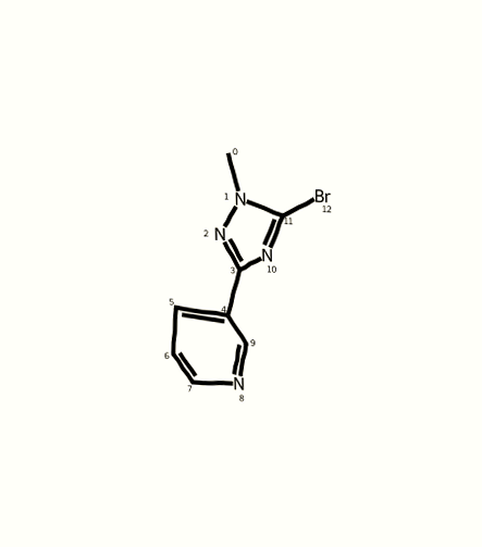 Cn1nc(-c2cccnc2)nc1Br